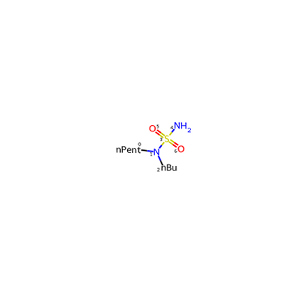 CCCCCN(CCCC)S(N)(=O)=O